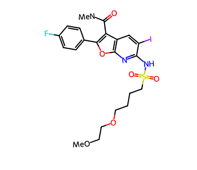 CNC(=O)c1c(-c2ccc(F)cc2)oc2nc(NS(=O)(=O)CCCCOCCOC)c(I)cc12